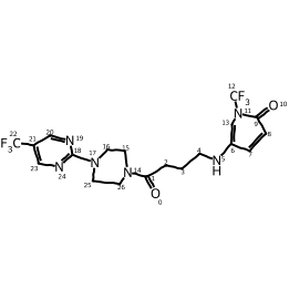 O=C(CCCNc1ccc(=O)n(C(F)(F)F)c1)N1CCN(c2ncc(C(F)(F)F)cn2)CC1